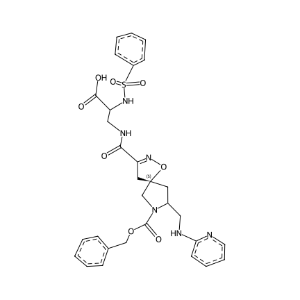 O=C(NCC(NS(=O)(=O)c1ccccc1)C(=O)O)C1=NO[C@]2(C1)CC(CNc1ccccn1)N(C(=O)OCc1ccccc1)C2